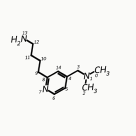 CN(C)Cc1ccnc(CCCCN)c1